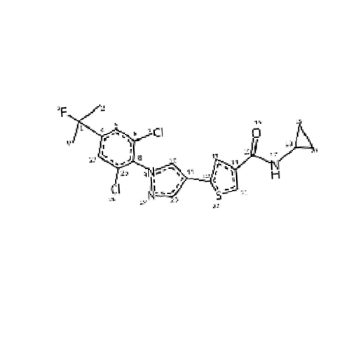 CC(C)(F)c1cc(Cl)c(-n2cc(-c3cc(C(=O)NC4CC4)cs3)cn2)c(Cl)c1